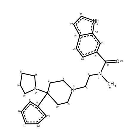 CN(CCN1CCC(c2ccccc2)(N2CCCC2)CC1)C(=O)c1ccc2cc[nH]c2c1